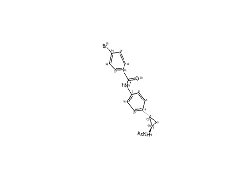 CC(=O)N[C@@H]1C[C@H]1c1ccc(NC(=O)c2ccc(Br)cc2)cc1